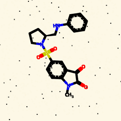 CN1C(=O)C(=O)c2cc(S(=O)(=O)N3CCC[C@H]3CNc3ccccc3)ccc21